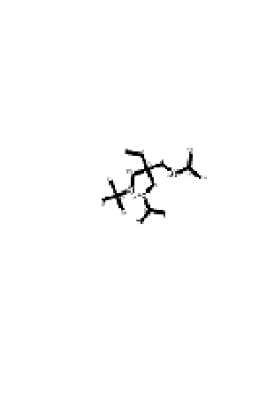 CCC(COC(C)C)(COC(C)C)COC(C)(C)C